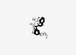 Cc1ccc2[nH]c(C)c(-c3ccc4cccc(C)c4n3)c2c1